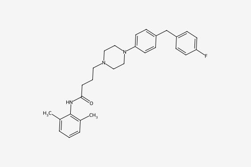 Cc1cccc(C)c1NC(=O)CCCN1CCN(c2ccc(Cc3ccc(F)cc3)cc2)CC1